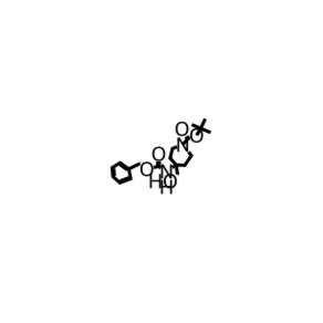 CC(C)(C)OC(=O)N1CCC(CO)(NC(=O)OCc2ccccc2)CC1